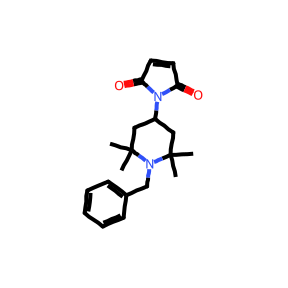 CC1(C)CC(N2C(=O)C=CC2=O)CC(C)(C)N1Cc1ccccc1